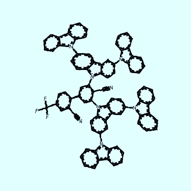 N#Cc1cc(C(F)(F)F)ccc1-c1cc(-n2c3ccc(-n4c5ccccc5c5ccccc54)cc3c3cc(-n4c5ccccc5c5ccccc54)ccc32)c(C#N)c(-n2c3ccc(-n4c5ccccc5c5ccccc54)cc3c3cc(-n4c5ccccc5c5ccccc54)ccc32)c1